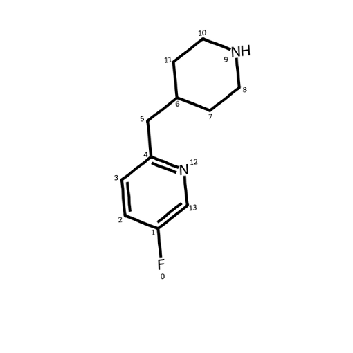 Fc1ccc(CC2CCNCC2)nc1